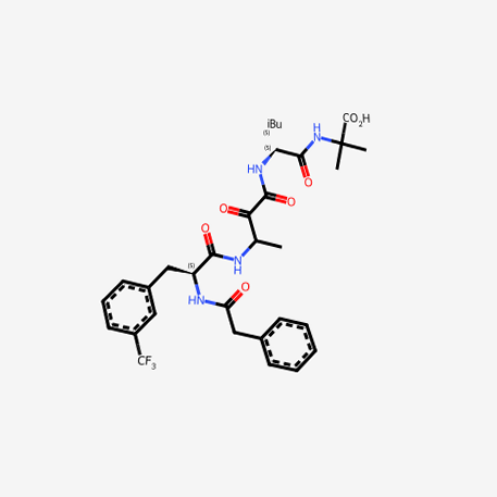 CC[C@H](C)[C@H](NC(=O)C(=O)C(C)NC(=O)[C@H](Cc1cccc(C(F)(F)F)c1)NC(=O)Cc1ccccc1)C(=O)NC(C)(C)C(=O)O